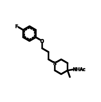 CC(=O)NC1(C)CCN(CCCOc2ccc(F)cc2)CC1